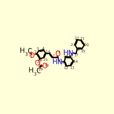 COc1ccc(C=CC(=O)Nc2cccc(NCc3ccccc3)c2)cc1OC(C)=O